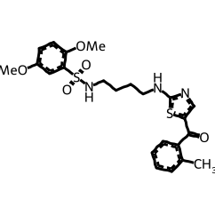 COc1ccc(OC)c(S(=O)(=O)NCCCCNc2ncc(C(=O)c3ccccc3C)s2)c1